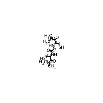 CN(C)C(=O)C(CS)NCC(=O)NC(CS)C(=O)N(C)C